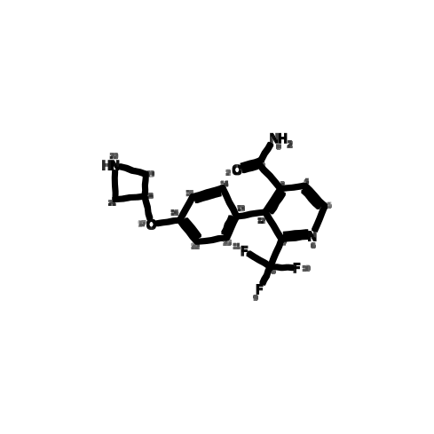 NC(=O)c1ccnc(C(F)(F)F)c1-c1ccc(OC2CNC2)cc1